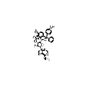 COc1ccc(C(OC[C@H]2O[C@@H](n3cnc4c(N)ncnc43)[C@@H](F)[C@@H]2OS(C)(=O)=O)(c2ccccc2)c2ccc(OC)cc2)cc1